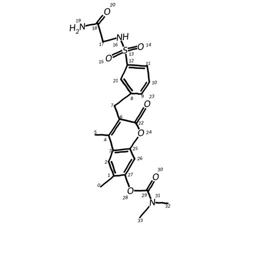 Cc1cc2c(C)c(Cc3cccc(S(=O)(=O)NCC(N)=O)c3)c(=O)oc2cc1OC(=O)N(C)C